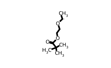 C[CH]OCCOC(=O)C(C)(C)C